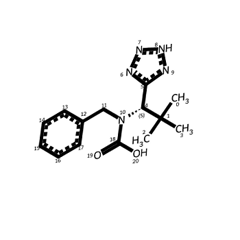 CC(C)(C)[C@@H](c1nn[nH]n1)N(Cc1ccccc1)C(=O)O